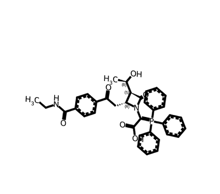 CCNC(=O)c1ccc(C(=O)C[C@@H]2[C@@H]([C@@H](C)O)C(=O)N2C(C(=O)O)=P(c2ccccc2)(c2ccccc2)c2ccccc2)cc1